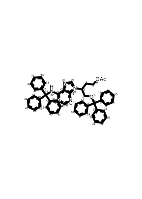 CC(=O)OCCC(COC(c1ccccc1)(c1ccccc1)c1ccccc1)n1cnc2c(NC(c3ccccc3)(c3ccccc3)c3ccccc3)ncnc21